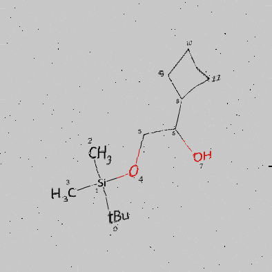 CC(C)(C)[Si](C)(C)OCC(O)C1CCC1